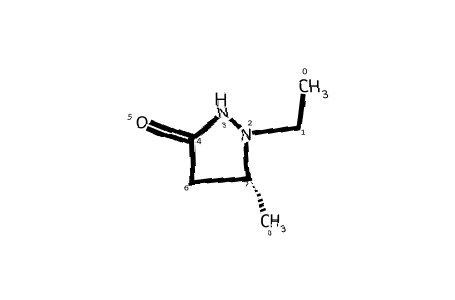 CCN1NC(=O)C[C@H]1C